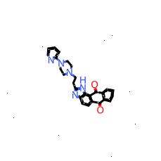 O=C1c2ccccc2C(=O)c2c1ccc1nc(CCN3CCN(c4ccccn4)CC3)[nH]c21